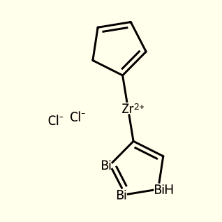 C1=CC[C]([Zr+2][C]2=[CH][BiH][Bi]=[Bi]2)=C1.[Cl-].[Cl-]